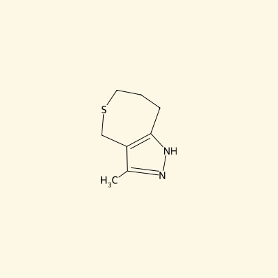 Cc1n[nH]c2c1CSCCC2